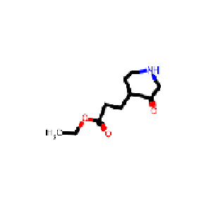 CCOC(=O)CCC1CCNCC1=O